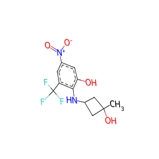 CC1(O)CC(Nc2c(O)cc([N+](=O)[O-])cc2C(F)(F)F)C1